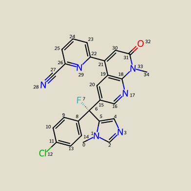 Cn1cncc1[C@@](F)(c1ccc(Cl)cc1)c1cnc2c(c1)c(-c1cccc(C#N)n1)cc(=O)n2C